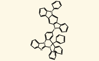 c1ccc(N2c3nc4ccccc4n3-c3ccc(-n4c5ccccc5c5cc6c(cc54)c4ccccc4n6-c4ccccc4)cc3C2(c2ccccc2)c2ccccc2)cc1